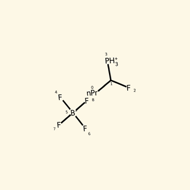 CCCC(F)[PH3+].F[B-](F)(F)F